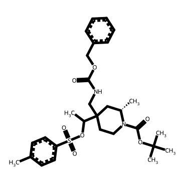 Cc1ccc(S(=O)(=O)OC(C)C2(CNC(=O)OCc3ccccc3)CCN(C(=O)OC(C)(C)C)[C@@H](C)C2)cc1